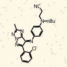 CCCCN(CCC#N)c1ccc(/N=C2/C(c3ccccc3Cl)=Nn3nc(C)nc32)cc1